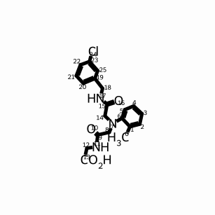 Cc1ccccc1N(CC(=O)NCC(=O)O)CC(=O)NCc1cccc(Cl)c1